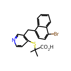 CC(C)(Sc1ccncc1Cc1ccc(Br)c2ccccc12)C(=O)O